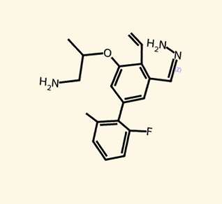 C=Cc1c(/C=N\N)cc(-c2c(C)cccc2F)cc1OC(C)CN